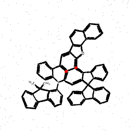 CC1(C)c2ccccc2-c2cccc(N(c3ccc4c(c3)C3(c5ccccc5-c5ccccc53)c3ccccc3-4)c3ccccc3-c3ccc4oc5c6ccccc6ccc5c4c3)c21